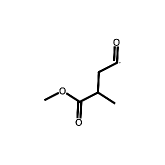 COC(=O)C(C)C[C]=O